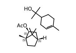 CC(=O)O[C@H]1C[C@@H]2CC[C@@]1(C)C2(C)C.CC1=CCC(C(C)(C)O)CC1